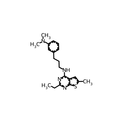 CCc1nc(NCCCc2cccc(N(C)C)c2)c2cc(C)sc2n1